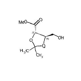 COC(=O)[C@H]1OC(C)(C)O[C@@H]1CO